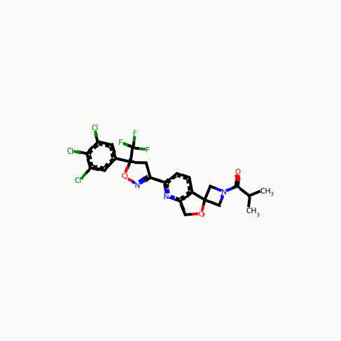 CC(C)C(=O)N1CC2(C1)OCc1nc(C3=NOC(c4cc(Cl)c(Cl)c(Cl)c4)(C(F)(F)F)C3)ccc12